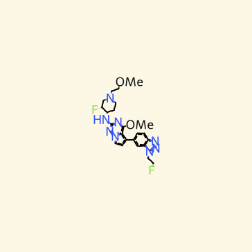 COCCN1CC[C@H](Nc2nc(OC)c3c(-c4ccc5nnn(CCF)c5c4)ccn3n2)[C@H](F)C1